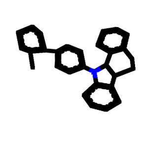 Cc1ccccc1-c1ccc(N2c3ccccc3C3CCc4ccccc4C32)cc1